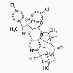 CCOc1cc(C(C)(C)C)ncc1C1=N[C@@](C)(c2ccc(Cl)cc2)[C@@](C)(c2ccc(Cl)cc2)N1C(=O)N1C[C@@H]2C(C(=O)N3CC(O)C3)[C@H]2C1